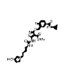 COC(=O)c1c(OCc2cc(C(=O)NC3CC3)ccc2F)nsc1NC(=O)NCCCCN1CC[C@H](O)C1